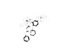 C[C@H](C[C@H](Sc1ccccc1)N1CCCCC1)Nc1ccc(S(N)(=O)=O)cc1S(=O)(=O)C(F)(F)F